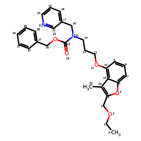 CCOCc1oc2cccc(OCCCN(Cc3cccnc3)C(=O)OCc3ccccc3)c2c1C